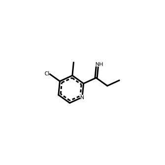 CCC(=N)c1nccc(Cl)c1C